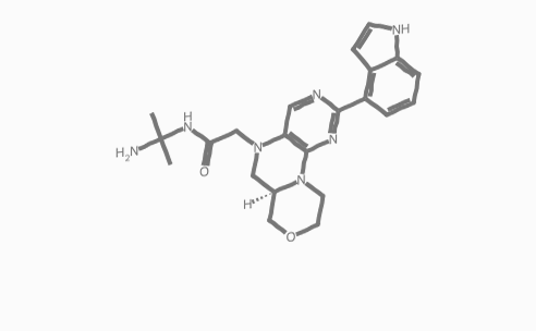 CC(C)(N)NC(=O)CN1C[C@@H]2COCCN2c2nc(-c3cccc4[nH]ccc34)ncc21